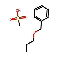 CCCOCc1ccccc1.CS(=O)(=O)O